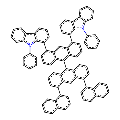 c1ccc(-n2c3ccccc3c3cccc(-c4cccc5c(-c6c7cccc(-c8cccc9ccccc89)c7cc7c(-c8cccc9ccccc89)cccc67)c6cccc(-c7cccc8c9ccccc9n(-c9ccccc9)c78)c6cc45)c32)cc1